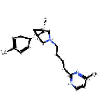 FC(F)(F)C1=CCC([C@]23C[C@H]2CN(CCCCc2nccc(C(F)(F)F)n2)C3)C=C1